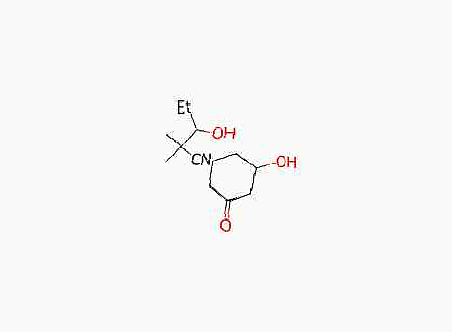 CCC(O)C(C)(C)C#N.O=C1CCCC(O)C1